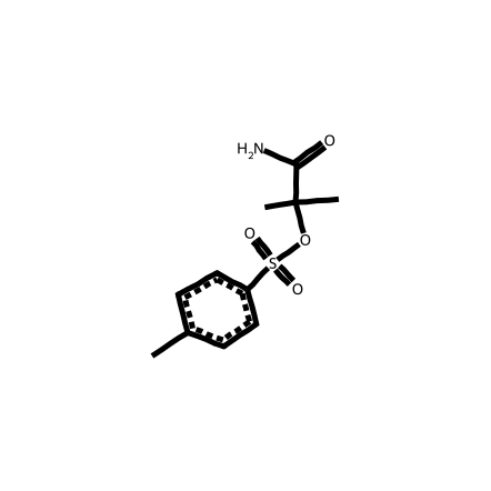 Cc1ccc(S(=O)(=O)OC(C)(C)C(N)=O)cc1